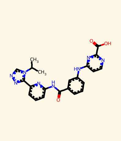 CC(C)n1cnnc1-c1cccc(NC(=O)c2cccc(Nc3ccnc(C(=O)O)n3)c2)n1